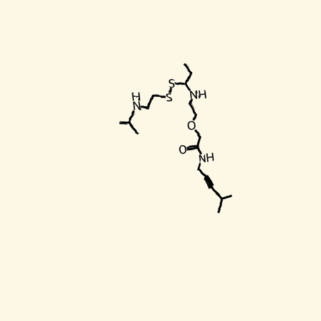 CCC(NCCOCC(=O)NCC#CC(C)C)SSCCNC(C)C